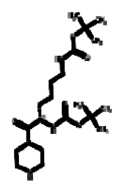 CC(C)(C)OC(=O)NCCCC[C@H](NC(=O)OC(C)(C)C)C(=O)N1CCNCC1